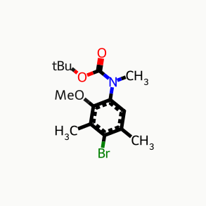 COc1c(N(C)C(=O)OC(C)(C)C)cc(C)c(Br)c1C